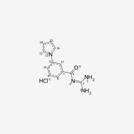 Cl.NC(N)=NC(=O)c1cccc(-n2cccc2)c1